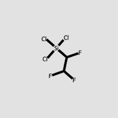 FC(F)C(F)[Si](Cl)(Cl)Cl